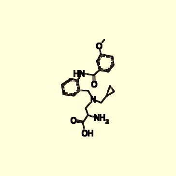 COc1cccc(C(=O)Nc2ccccc2CN(CC2CC2)CC(N)C(=O)O)c1